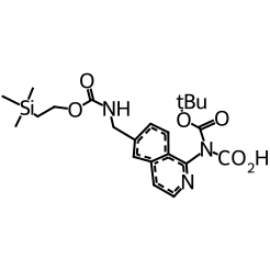 CC(C)(C)OC(=O)N(C(=O)O)c1nccc2cc(CNC(=O)OCC[Si](C)(C)C)ccc12